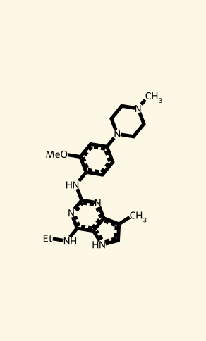 CCNc1nc(Nc2ccc(N3CCN(C)CC3)cc2OC)nc2c(C)c[nH]c12